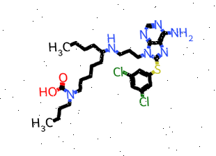 CCCCC(CCCCCN(CCCC)C(=O)O)NCCCn1c(Sc2cc(Cl)cc(Cl)c2)nc2c(N)ncnc21